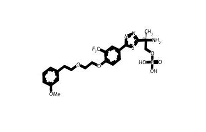 COc1cccc(CCOCCOc2ccc(-c3nnc([C@@](C)(N)COP(=O)(O)O)s3)cc2C(F)(F)F)c1